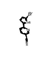 N#Cc1ccc(-c2ccc(Br)[se]2)nc1